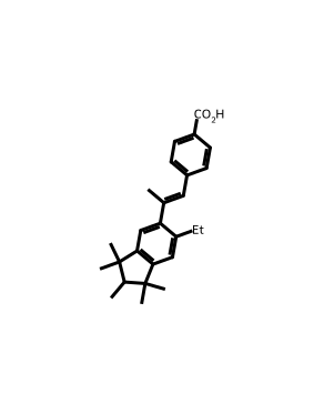 CCc1cc2c(cc1C(C)=Cc1ccc(C(=O)O)cc1)C(C)(C)C(C)C2(C)C